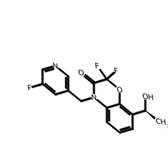 C[C@H](O)c1cccc2c1OC(F)(F)C(=O)N2Cc1cncc(F)c1